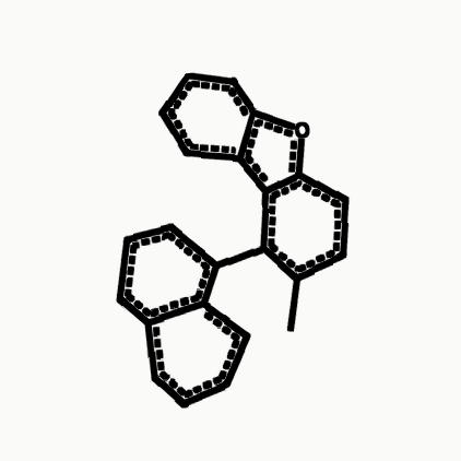 Cc1ccc2oc3ccccc3c2c1-c1cccc2ccccc12